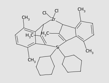 CC1=C2c3c(C)ccc(C)c3[CH]1[Zr]([Cl])([Cl])[CH]1C(C)=C(c3c(C)ccc(C)c31)[Si]2(C1CCCCC1)C1CCCCC1